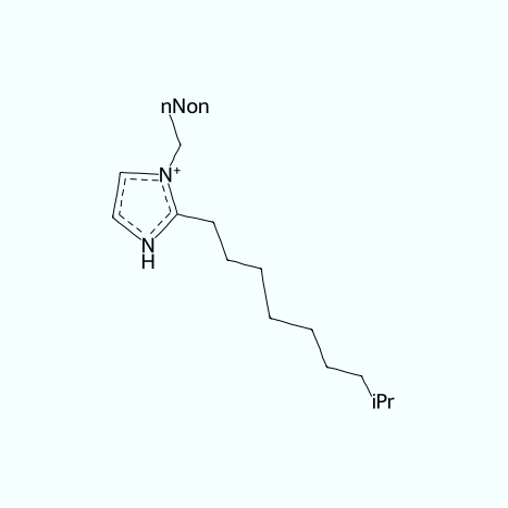 CCCCCCCCCC[n+]1cc[nH]c1CCCCCCCC(C)C